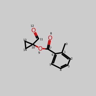 Cc1ccccc1C(=O)OC1(C=O)CC1